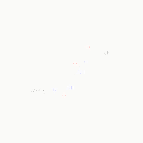 CO[C@@H]1CCN(C2Cc3ccc(NC(=O)/C=C4\CCCOc5cc(C(F)(F)F)ccc54)cc3NC2=O)C1